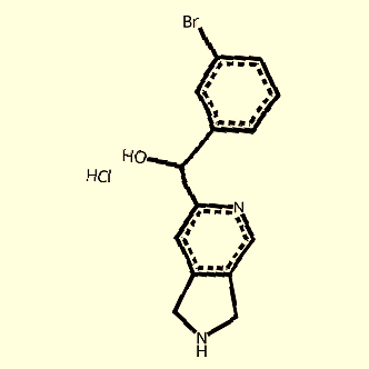 Cl.OC(c1cccc(Br)c1)c1cc2c(cn1)CNC2